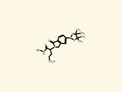 CC(C)(C)NC(=O)C(CCC(=O)O)N1Cc2cc(B3OC(C)(C)C(C)(C)O3)ccc2C1=O